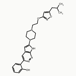 CC(C)Cc1cc(OCCN2CCN(c3cc4cc(-c5ccccc5O)nnc4[nH]3)CC2)no1